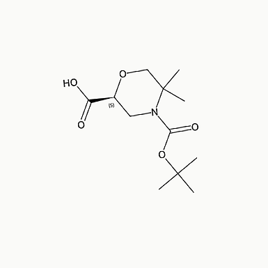 CC(C)(C)OC(=O)N1C[C@@H](C(=O)O)OCC1(C)C